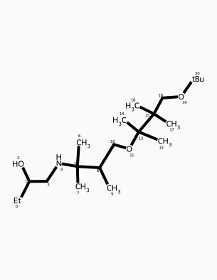 CCC(O)CNC(C)(C)C(C)COC(C)(C)C(C)(C)COC(C)(C)C